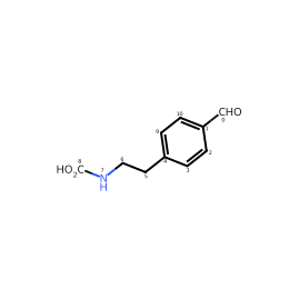 O=Cc1ccc(CCNC(=O)O)cc1